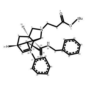 CC(C)(C)OC(=O)CCN1C[C@@H]2C[C@H]3C=N[C@]2(C(=O)NCc2ccccc2)C1[C@@H]3Cc1ccccc1